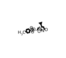 Cc1ccc(S(=O)(=O)OC[C@@H]2Cn3c(C4CC4)cc(=O)nc3O2)cc1